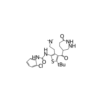 CN(C)CCc1c(NC(=O)Nc2ccccc2Cl)sc(C(C)(C)C)c1C(=O)C1CCC(=O)NNC1